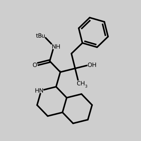 CC(C)(C)NC(=O)[C](C1NCCC2CCCCC21)C(C)(O)Cc1ccccc1